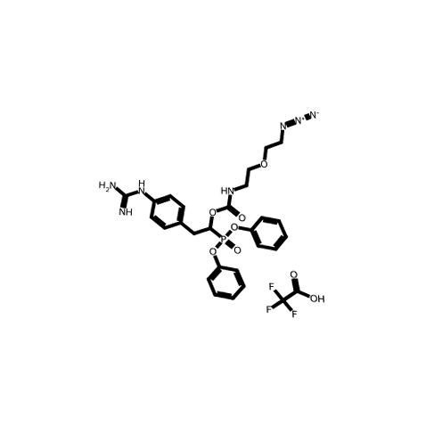 O=C(O)C(F)(F)F.[N-]=[N+]=NCCOCCNC(=O)OC(Cc1ccc(NC(=N)N)cc1)P(=O)(Oc1ccccc1)Oc1ccccc1